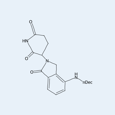 CCCCCCCCCCNc1cccc2c1CN(C1CCC(=O)NC1=O)C2=O